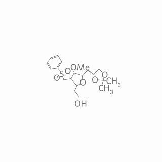 CO[C@@H]1C(CS(=O)(=O)c2ccccc2)C(CCO)O[C@@H]1C[C@H]1COC(C)(C)O1